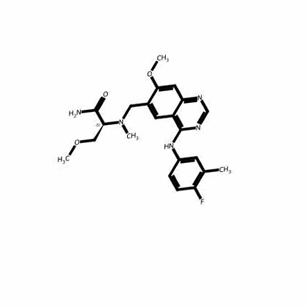 COC[C@@H](C(N)=O)N(C)Cc1cc2c(Nc3ccc(F)c(C)c3)ncnc2cc1OC